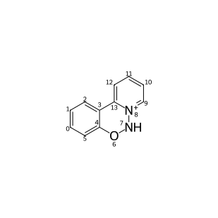 c1ccc2c(c1)ON[n+]1ccccc1-2